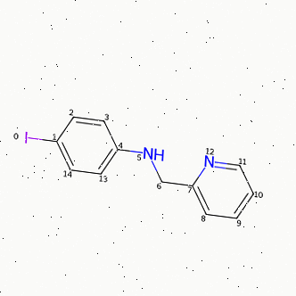 Ic1ccc(NCc2ccccn2)cc1